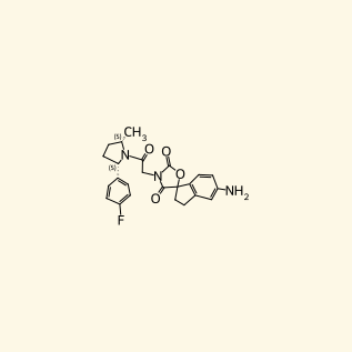 C[C@H]1CC[C@@H](c2ccc(F)cc2)N1C(=O)CN1C(=O)OC2(CCc3cc(N)ccc32)C1=O